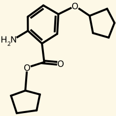 Nc1ccc(OC2CCCC2)cc1C(=O)OC1CCCC1